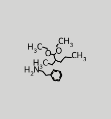 CCCCC(CC)C(OCC)OCC.NCCc1ccccc1